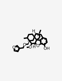 COC1[C@@H]2Oc3c(O)ccc4c3C23CCN(C)[C@H](C4)C32CCC(C)[C@]1(COCc1ccoc1)C2